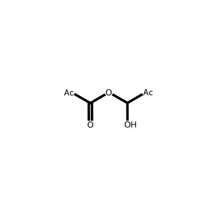 CC(=O)C(=O)OC(O)C(C)=O